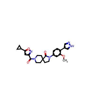 COc1cc(N2CCC3(CCN(C(=O)c4cc(C5CC5)on4)CC3)C2=O)ccc1-c1cn[nH]c1